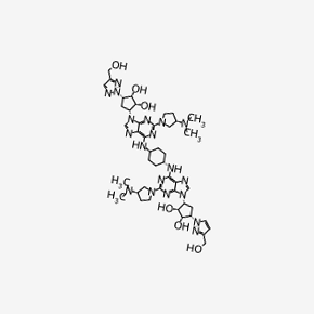 CN(C)[C@@H]1CCN(c2nc(N[C@H]3CC[C@H](Nc4nc(N5CC[C@@H](N(C)C)C5)nc5c4ncn5[C@@H]4C[C@H](n5ncc(CO)n5)[C@@H](O)[C@H]4O)CC3)c3ncn([C@@H]4C[C@H](n5ccc(CO)n5)[C@@H](O)[C@H]4O)c3n2)C1